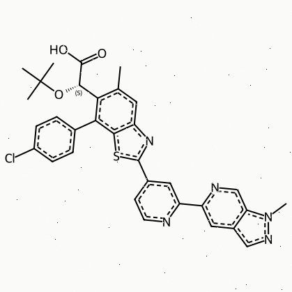 Cc1cc2nc(-c3ccnc(-c4cc5cnn(C)c5cn4)c3)sc2c(-c2ccc(Cl)cc2)c1[C@H](OC(C)(C)C)C(=O)O